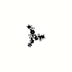 C[C@H](NCc1ccc2c(c1)[nH]/c(=N\C(=O)c1ccc(-n3cncn3)s1)n2C[C@H]1CCCN1C(=O)/C(C#N)=C/C(C)(C)C)C(C)(C)C